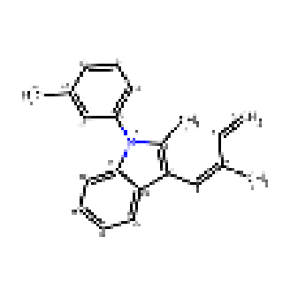 C=C/C(C)=C\c1c(C)n(-c2cccc(C)c2)c2ccccc12